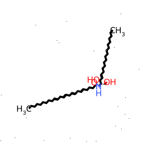 CCCCCCCCC/C=C/C/C=C/C/C=C/C/C=C/CCCC(=O)N[C@@H](CO)[C@H](O)/C=C/CCCCCCCCCCCCCCC